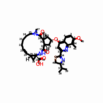 COc1ccc2c(O[C@@H]3C[C@H]4C(=O)N[C@]5(C(=O)O)C[C@H]5/C=C\CCCCN(C)C(=O)[C@@H]4C3)cc(C3=NC(C(C)C)CS3)nc2c1C